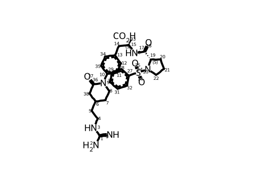 N=C(N)NCCC1CCN(c2ccc(C[C@H](NC(=O)[C@@H]3CCCN3S(=O)(=O)c3ccccc3)C(=O)O)cc2)C(=O)C1